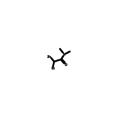 CC[CH]([Zn])C(=O)N(C)C